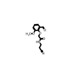 COc1cccc(C=O)c1OCC(=O)NCCC#N